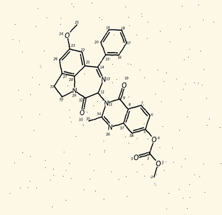 COC(=O)Oc1ccc2c(=O)n(C3N=C(c4ccccc4)c4cc(OC)cc5c4N(CC5)C3=O)c(C)nc2c1